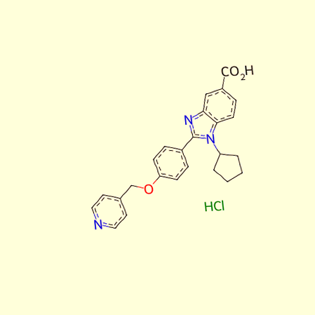 Cl.O=C(O)c1ccc2c(c1)nc(-c1ccc(OCc3ccncc3)cc1)n2C1CCCC1